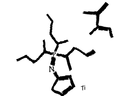 C=C(C)C(C)=CC.CCCC(C)P(=NC1=CC=CC1)(C(C)CCC)C(C)CCC.[Ti]